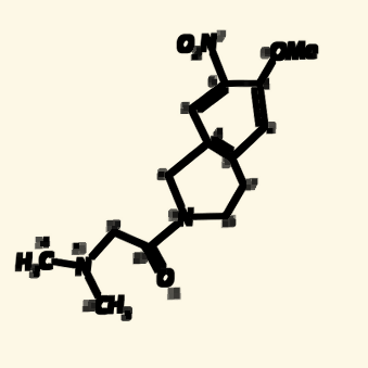 COc1cc2c(cc1[N+](=O)[O-])CN(C(=O)CN(C)C)CC2